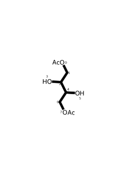 CC(=O)OCC(O)C(O)COC(C)=O